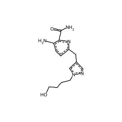 NC(=O)c1nc(Cc2cnn(CCCCO)c2)ccc1N